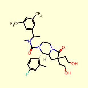 Cc1cc(F)ccc1[C@H]1[C@@H]2CC(CCO)(CCO)C(=O)N2CCN1C(=O)N(C)[C@H](C)c1cc(C(F)(F)F)cc(C(F)(F)F)c1